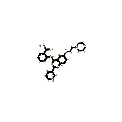 NC(=O)c1ccccc1Nc1nc(-c2cccnc2)nc2ccc(OCCN3CCOCC3)cc12